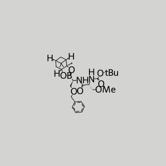 COC[C@@H](NC(=O)OC(C)(C)C)C(=O)N[C@@H](COCc1ccccc1)B1O[C@@H]2C[C@@H]3C[C@@H](C3(C)C)[C@]2(C)O1